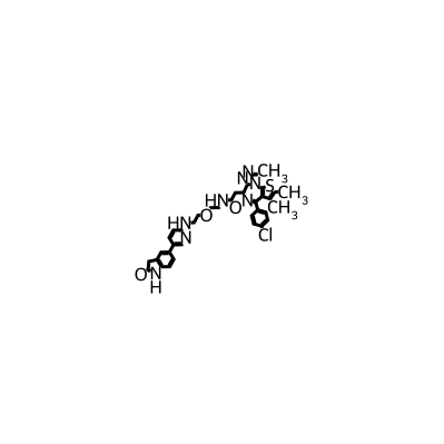 Cc1sc2c(c1C)C(c1ccc(Cl)cc1)=NC(CC(=O)NCCOCCNc1ccc(-c3ccc4c(c3)CC(=O)N4)cn1)c1nnc(C)n1-2